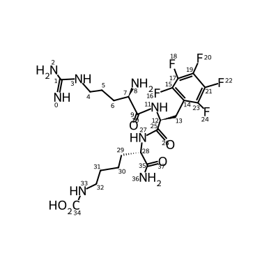 N=C(N)NCCC[C@@H](N)C(=O)N[C@@H](Cc1c(F)c(F)c(F)c(F)c1F)C(=O)N[C@@H](CCCCNC(=O)O)C(N)=O